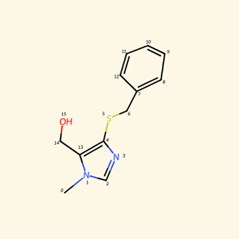 Cn1cnc(SCc2ccccc2)c1CO